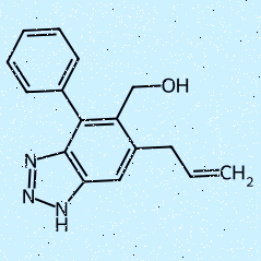 C=CCc1cc2[nH]nnc2c(-c2ccccc2)c1CO